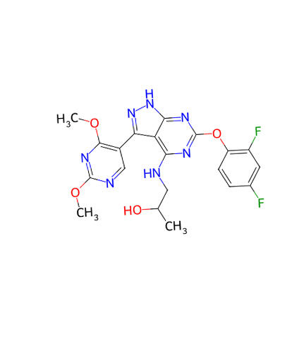 COc1ncc(-c2n[nH]c3nc(Oc4ccc(F)cc4F)nc(NCC(C)O)c23)c(OC)n1